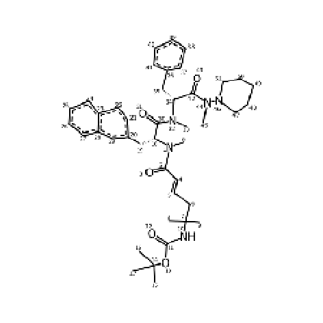 CN(C(=O)C=CCC(C)(C)NC(=O)OC(C)(C)C)[C@H](Cc1ccc2ccccc2c1)C(=O)N(C)[C@H](Cc1ccccc1)C(=O)N(C)N1CCCCC1